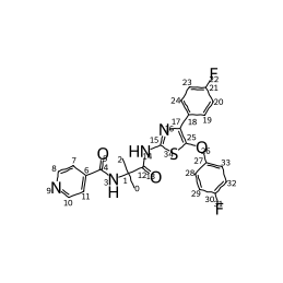 CC(C)(NC(=O)c1ccncc1)C(=O)Nc1nc(-c2ccc(F)cc2)c(Oc2ccc(F)cc2)s1